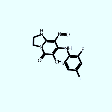 Cc1c(Nc2ccc(I)cc2F)c(N=O)c2n(c1=O)CCN2